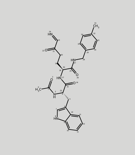 CC(=O)N[C@@H](Cc1c[nH]c2ccccc12)C(=O)N[C@@H](CCC(=O)C=N)C(=O)NCc1ccc(C)cc1